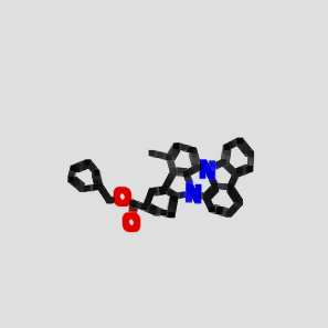 Cc1ccc2c3c1c1cc(C(=O)OCc4ccccc4)ccc1n3c1cccc3c4ccccc4n2c31